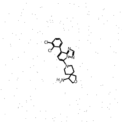 NC1COCC12CCN(c1ccc(-c3cccc(Cl)c3Cl)c3ncnn13)CC2